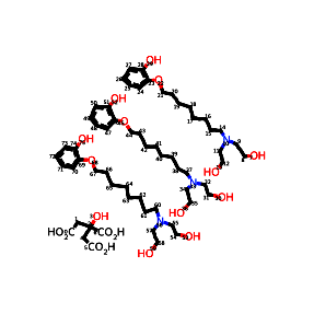 O=C(O)CC(O)(CC(=O)O)C(=O)O.OCCN(CCO)CCCCCCCCOc1ccccc1O.OCCN(CCO)CCCCCCCCOc1ccccc1O.OCCN(CCO)CCCCCCCCOc1ccccc1O